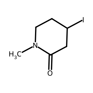 CN1CCC(I)CC1=O